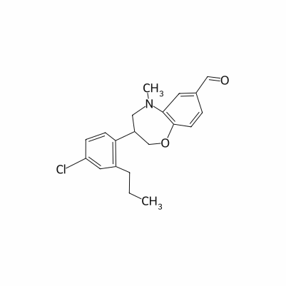 CCCc1cc(Cl)ccc1C1COc2ccc(C=O)cc2N(C)C1